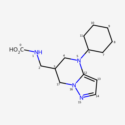 O=C(O)NCC1CN(C2CCCCC2)c2ccnn2C1